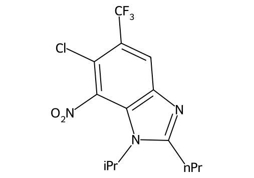 CCCc1nc2cc(C(F)(F)F)c(Cl)c([N+](=O)[O-])c2n1C(C)C